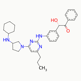 CCCc1cc(N2CCC(NC3CCCCC3)C2)nc(Nc2cccc([C@H](O)C(=O)c3ccccc3)c2)n1